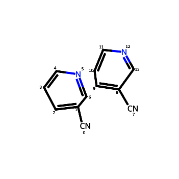 N#Cc1cccnc1.N#Cc1cccnc1